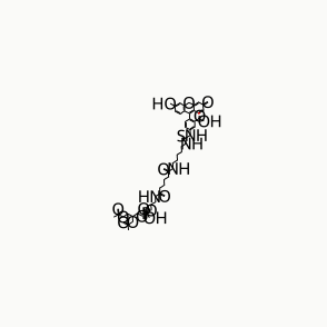 CC(=O)OCC(COP(=O)(O)OCCNC(=O)CCCCC(=O)NCCCCCNC(=S)Nc1ccc(-c2c3ccc(=O)cc-3oc3cc(O)ccc23)c(C(=O)O)c1)OC(C)=O